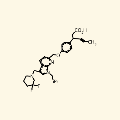 CC#CC(CC(=O)O)c1ccc(OCc2ccc3c(CN4CCCC(F)(F)C4)cn(CC(C)C)c3n2)cc1